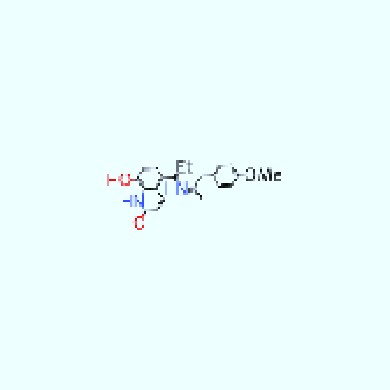 CC[C@@H](N[C@H](C)Cc1ccc(OC)cc1)c1ccc(O)c2[nH]c(=O)ccc12